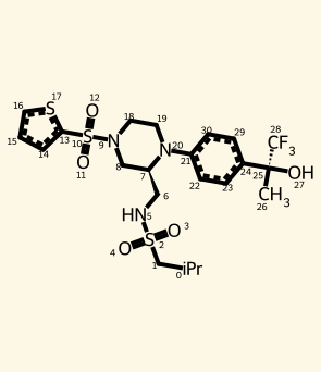 CC(C)CS(=O)(=O)NC[C@H]1CN(S(=O)(=O)c2cccs2)CCN1c1ccc([C@](C)(O)C(F)(F)F)cc1